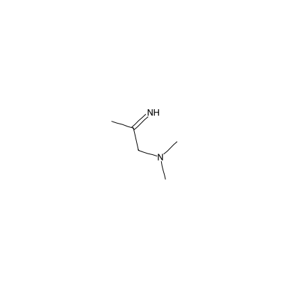 CC(=N)CN(C)C